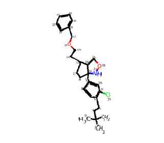 CC(C)(C)CCc1ccc(C23CCC(CCOCc4ccccc4)C2CON3)cc1Cl